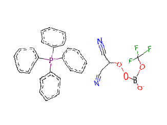 N#CC(C#N)OOB([O-])OC(F)(F)F.c1ccc([P+](c2ccccc2)(c2ccccc2)c2ccccc2)cc1